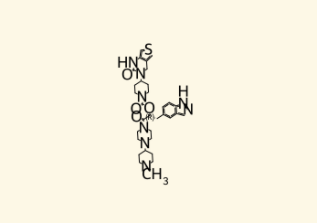 CN1CCC(N2CCN(C(=O)[C@@H](Cc3ccc4[nH]ncc4c3)OC(=O)N3CCC(N4Cc5cscc5NC4=O)CC3)CC2)CC1